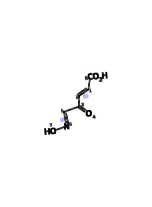 O=C(O)/C=C/C(=O)/C=N/O